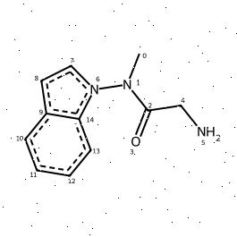 CN(C(=O)CN)n1ccc2ccccc21